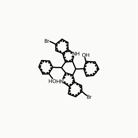 Oc1ccccc1C1c2[nH]c3ccc(Br)cc3c2C(c2ccccc2O)c2[nH]c3ccc(Br)cc3c21